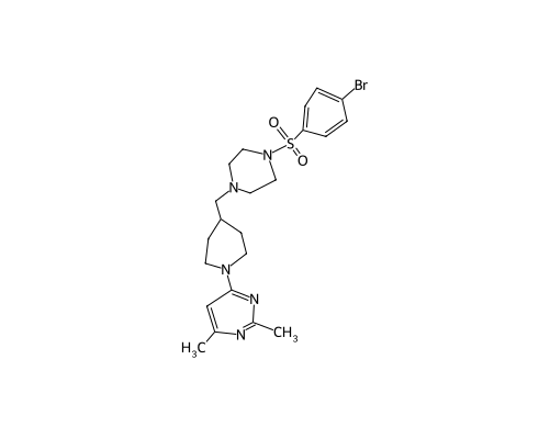 Cc1cc(N2CCC(CN3CCN(S(=O)(=O)c4ccc(Br)cc4)CC3)CC2)nc(C)n1